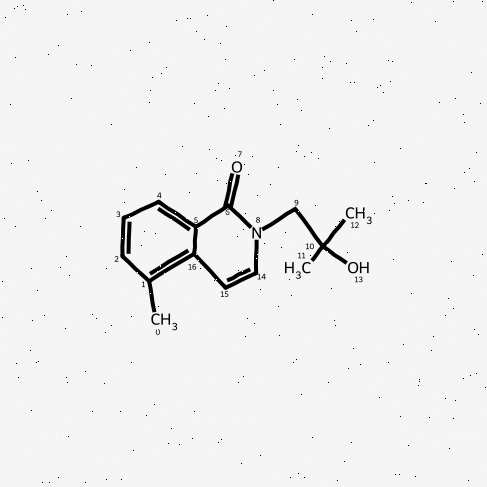 Cc1cccc2c(=O)n(CC(C)(C)O)ccc12